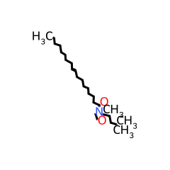 CCCCCCCCC=CCCCCCCCC(=O)N1CCOC1(C)CCC(C)C